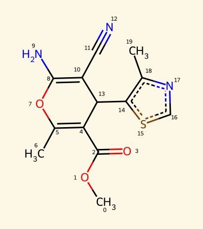 COC(=O)C1=C(C)OC(N)=C(C#N)C1c1scnc1C